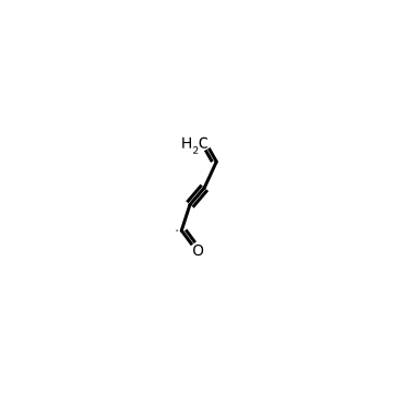 C=CC#C[C]=O